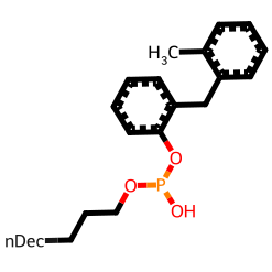 CCCCCCCCCCCCCOP(O)Oc1ccccc1Cc1ccccc1C